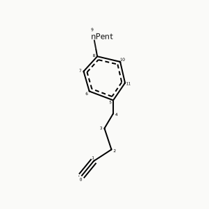 [C]#CCCCc1ccc(CCCCC)cc1